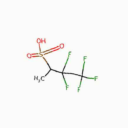 CC(C(F)(F)C(F)(F)F)S(=O)(=O)O